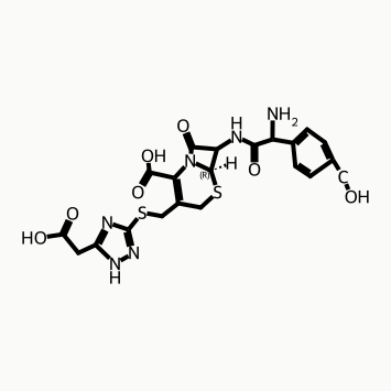 NC(C(=O)NC1C(=O)N2C(C(=O)O)=C(CSc3n[nH]c(CC(=O)O)n3)CS[C@H]12)c1ccc(CO)cc1